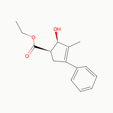 CCOC(=O)[C@@H]1CC(c2ccccc2)=C(C)[C@@H]1O